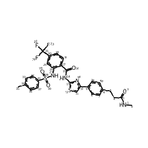 CNC(=O)CCc1ccc(-c2csc(NC(=O)c3ccc(C(F)(F)F)cc3NS(=O)(=O)c3ccc(C)cc3)n2)cc1